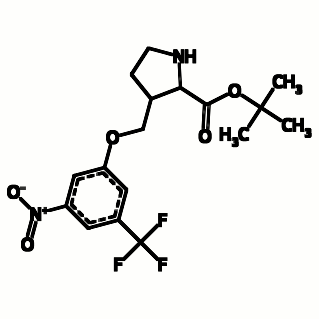 CC(C)(C)OC(=O)C1NCCC1COc1cc([N+](=O)[O-])cc(C(F)(F)F)c1